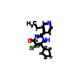 CCc1cnccc1-c1nc(=O)c(Br)c(C2CCCC2)[nH]1